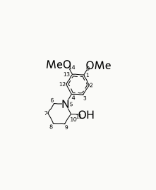 COc1ccc(N2CCCCC2O)cc1OC